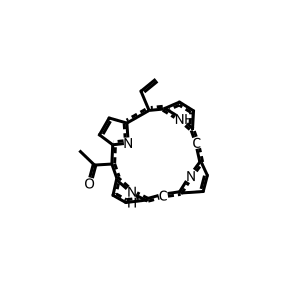 C=Cc1c2nc(c(C(C)=O)c3ccc(cc4nc(cc5ccc1[nH]5)C=C4)[nH]3)C=C2